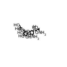 NC1CC1(O)C(=O)N[C@H]1C[C@@H](O)C(O[C@H]2O[C@H](CNCC(O)CO)[C@@H](O)[C@H](O)[C@H]2O)[C@@H](N)C1